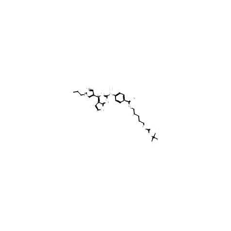 CCCn1cc(-c2nc(Nc3ccc(C(=O)NCCCCCNC(=O)OC(C)(C)C)cc3)nc3[nH]ccc23)cn1